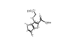 CCOC(=O)COc1c(C(=O)OC)sc2c(Br)csc12